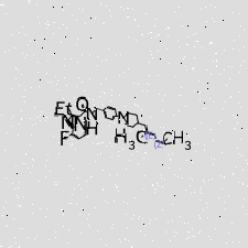 C/C=C\C=C(/C)CC1CCN(c2ccc(CNC(=O)c3c(CC)nc4c(F)cccn34)cc2)CC1